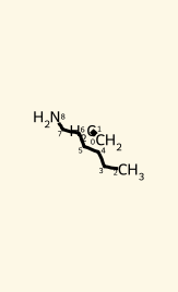 C=C.CCCCCCN